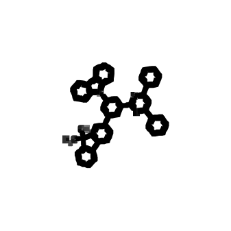 CC1(C)c2ccccc2-c2ccc(-c3cc(-c4nc(-c5ccccc5)cc(-c5ccccc5)n4)cc(-n4c5ccccc5c5ccccc54)c3)cc21